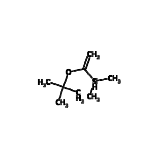 C=C(OC(C)(C)C)[SiH](C)C